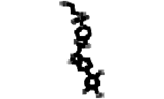 CCc1cc(O)c(F)cc1-c1ccc2c(-c3nc4c([nH]3)CCN(S(=O)(=O)NCCO)C4)n[nH]c2c1